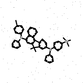 Cc1ccc(N(c2ccccc2)c2cc3c(c4ccccc24)-c2ccc(N(c4ccccc4)c4ccc([Si](C)(C)C)cc4)cc2C3(C)C)cc1